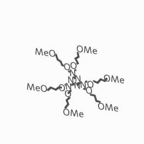 COCCCCOCN(COCCCCOC)c1nc(N(COCCCCOC)COCCCCOC)nc(N(COCCCCOC)COCCCCOC)n1